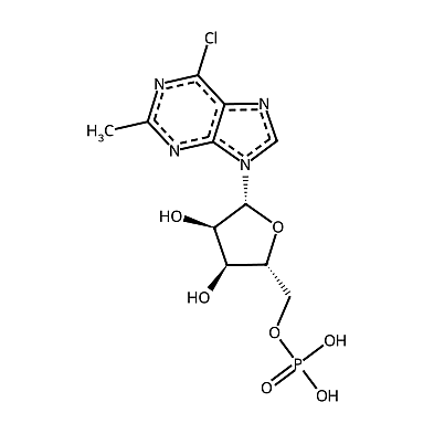 Cc1nc(Cl)c2ncn([C@@H]3O[C@H](COP(=O)(O)O)[C@@H](O)[C@H]3O)c2n1